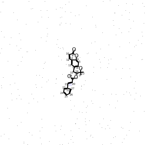 CC1(C)Oc2cc3oc(=O)ccc3cc2C[C@@H]1OC(=O)/C=C/c1ccccc1